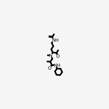 C=C(C)NCCCC(C(C)=O)N(C)CC(C)C(=O)NC1CCCCC1